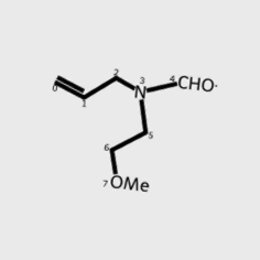 C=CCN([C]=O)CCOC